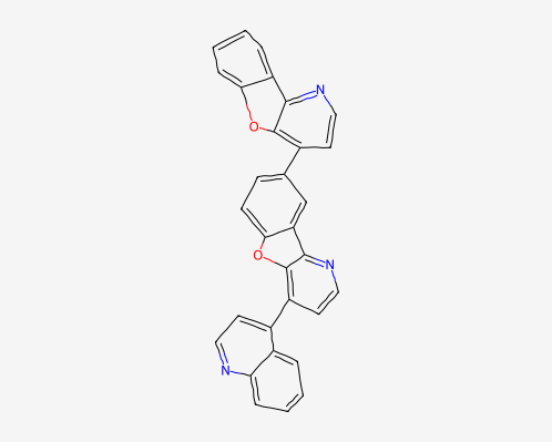 c1ccc2c(-c3ccnc4c3oc3ccc(-c5ccnc6c5oc5ccccc56)cc34)ccnc2c1